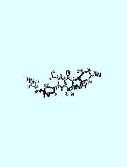 CCc1cc2c(cc1-c1cnn(CC3CNC3)c1)C(C)(C)c1[nH]c3cc(C#N)ccc3c1C2=O